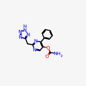 NC(=O)Oc1cnc(Cc2nn[nH]n2)nc1-c1ccccc1